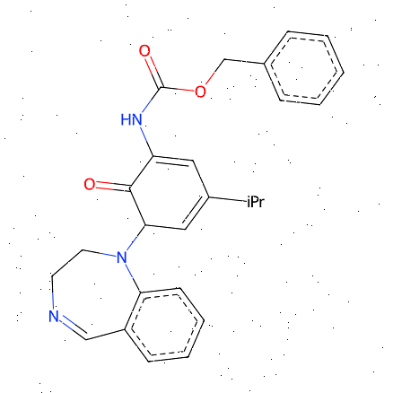 CC(C)C1=CC(N2CCN=Cc3ccccc32)C(=O)C(NC(=O)OCc2ccccc2)=C1